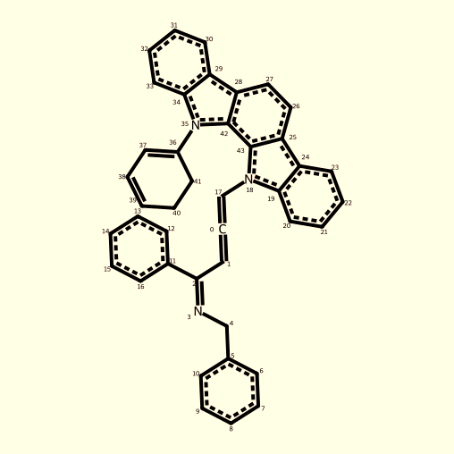 C(=C/C(=N\Cc1ccccc1)c1ccccc1)=Cn1c2ccccc2c2ccc3c4ccccc4n(C4=CC=CCC4)c3c21